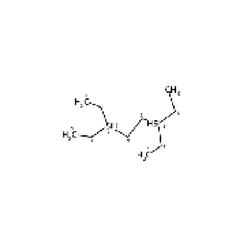 CC[SiH](CC)CC[SiH](CC)CC